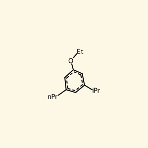 [CH2]C(C)c1cc(CCC)cc(OCC)c1